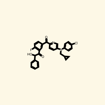 O=C(c1ccc(F)c(C(=O)C(O)c2ccccc2)c1)c1ccc(N(CC2CC2)c2ccc(Cl)cc2)cn1